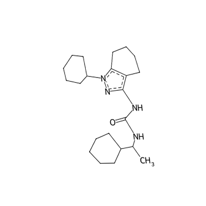 CC(NC(=O)Nc1nn(C2CCCCC2)c2c1CCCC2)C1CCCCC1